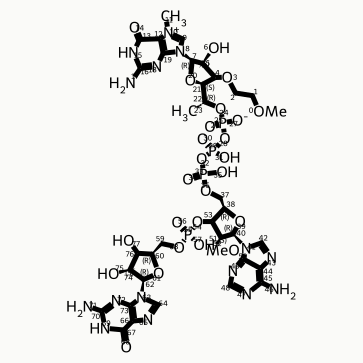 COCCOC1[C@H](O)[C@H](n2c[n+](C)c3c(=O)[nH]c(N)nc32)O[C@@H]1[C@@H](C)OP(=O)([O-])OP(=O)(O)OP(=O)(O)OC[C@H]1O[C@@H](n2cnc3c(N)ncnc32)[C@@H](OC)C1OP(=O)(O)OC[C@H]1O[C@@H](n2cnc3c(=O)[nH]c(N)nc32)[C@@H](O)C1O